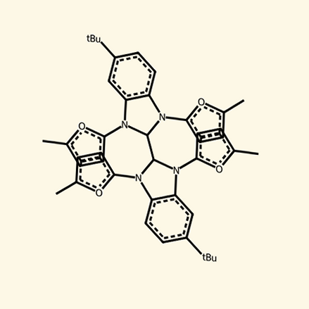 Cc1ccc(N2c3ccc(C(C)(C)C)cc3N(c3ccc(C)o3)C2C2N(c3ccc(C)o3)c3ccc(C(C)(C)C)cc3N2c2ccc(C)o2)o1